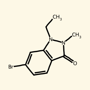 CCn1c2cc(Br)ccc2c(=O)n1C